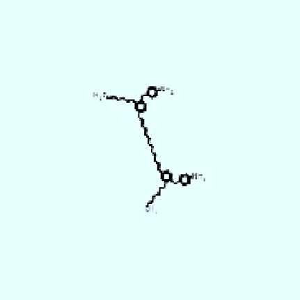 CCCCCCCc1cc(CCCCCCCCCCCCCc2ccc(Cc3ccc(N)cc3)c(CCCCCCC)c2)ccc1Cc1ccc(N)cc1